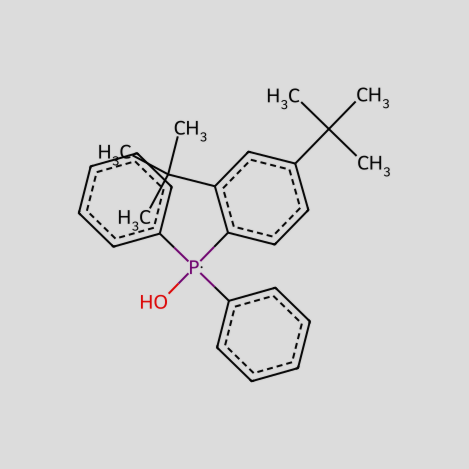 CC(C)(C)c1ccc([P](O)(c2ccccc2)c2ccccc2)c(C(C)(C)C)c1